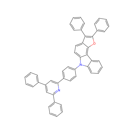 c1ccc(-c2cc(-c3ccccc3)nc(-c3ccc(-n4c5ccccc5c5c6oc(-c7ccccc7)c(-c7ccccc7)c6ccc54)cc3)c2)cc1